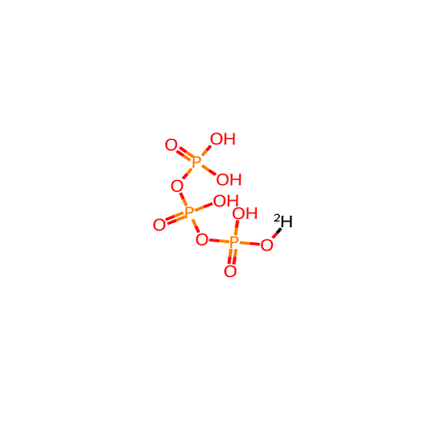 [2H]OP(=O)(O)OP(=O)(O)OP(=O)(O)O